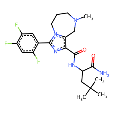 CN1CCCn2c(-c3cc(F)c(F)cc3F)nc(C(=O)NC(CC(C)(C)C)C(N)=O)c2C1